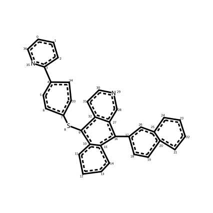 c1ccc(-c2ccc(Sc3c4ccccc4c(-c4ccc5ccccc5c4)c4cnccc34)cc2)nc1